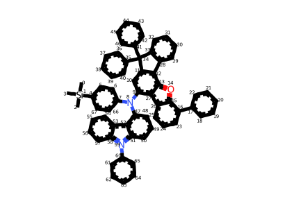 C[Si](C)(C)c1ccc(N(c2cc3c(c4oc5c(-c6ccccc6)cccc5c24)-c2ccccc2C3(c2ccccc2)c2ccccc2)c2cccc3c2c2ccccc2n3-c2ccccc2)cc1